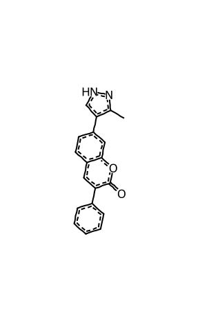 Cc1n[nH]cc1-c1ccc2cc(-c3ccccc3)c(=O)oc2c1